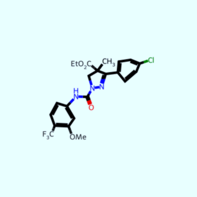 CCOC(=O)C1(C)CN(C(=O)Nc2ccc(C(F)(F)F)c(OC)c2)N=C1c1ccc(Cl)cc1